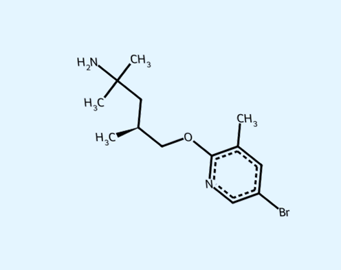 Cc1cc(Br)cnc1OC[C@@H](C)CC(C)(C)N